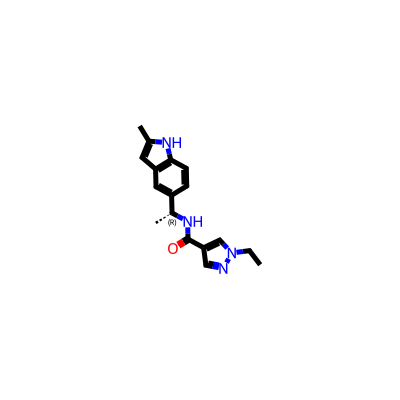 CCn1cc(C(=O)N[C@H](C)c2ccc3[nH]c(C)cc3c2)cn1